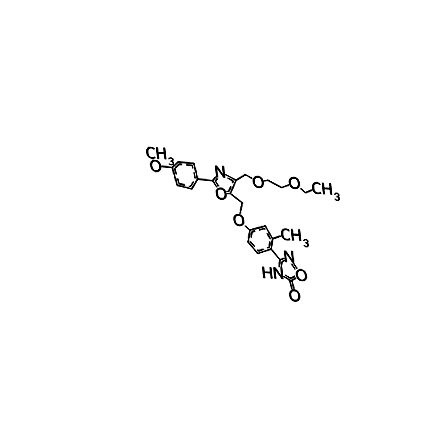 CCOCCOCc1nc(-c2ccc(OC)cc2)oc1COc1ccc(-c2noc(=O)[nH]2)c(C)c1